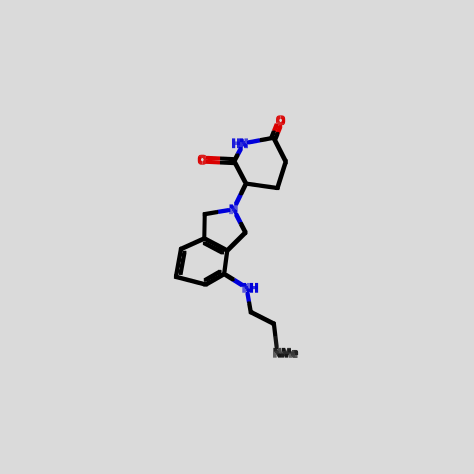 CNCCNc1cccc2c1CN(C1CCC(=O)NC1=O)C2